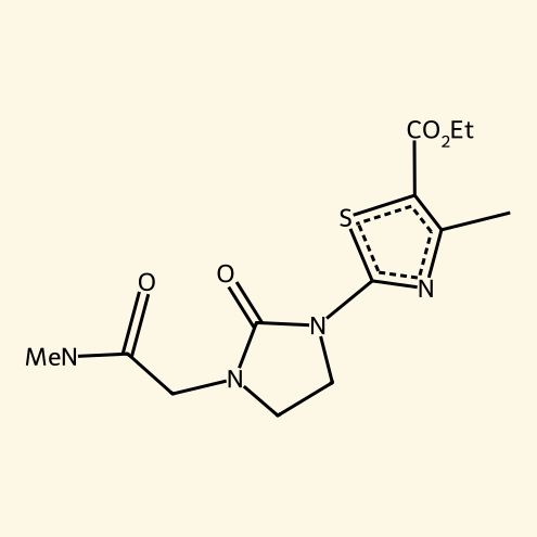 CCOC(=O)c1sc(N2CCN(CC(=O)NC)C2=O)nc1C